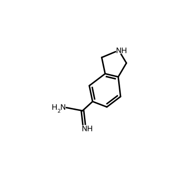 N=C(N)c1ccc2c(c1)CNC2